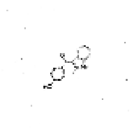 O=C1c2ccc(O)cc2Cc2[nH]c3ccccc3c21